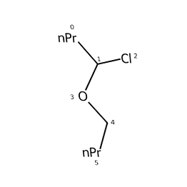 [CH2]CCC(Cl)OCCCC